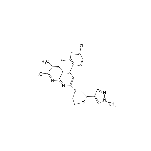 Cc1cc2c(-c3ccc(Cl)cc3F)cc(N3CCOC(c4cnn(C)c4)C3)nc2nc1C